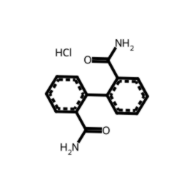 Cl.NC(=O)c1ccccc1-c1ccccc1C(N)=O